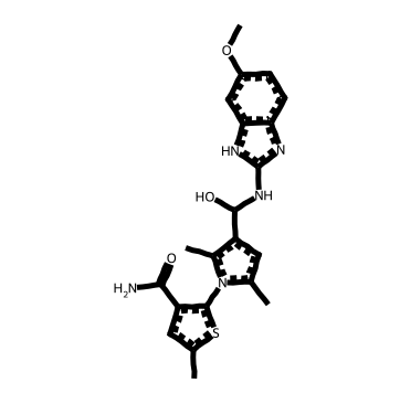 COc1ccc2nc(NC(O)c3cc(C)n(-c4sc(C)cc4C(N)=O)c3C)[nH]c2c1